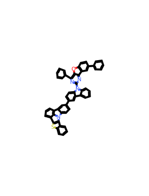 c1ccc(-c2ccc3oc4c(-c5ccccc5)nc(-n5c6ccccc6c6cc(-c7ccc8c(c7)c7cccc9c%10sc%11ccccc%11c%10n8c79)ccc65)nc4c3c2)cc1